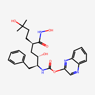 CC(C)(O)CC[C@H](C[C@H](O)[C@H](Cc1ccccc1)NC(=O)Oc1cnc2ccccc2n1)C(=O)NO